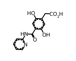 O=C(O)Cc1cc(O)c(C(=O)Nc2ccccn2)cc1O